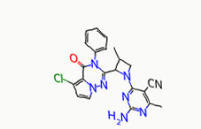 Cc1nc(N)nc(N2CC(C)C2c2nn3ccc(Cl)c3c(=O)n2-c2ccccc2)c1C#N